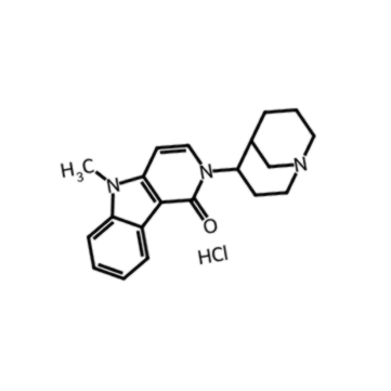 Cl.Cn1c2ccccc2c2c(=O)n(C3CCN4CCCC3C4)ccc21